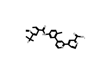 C=N/C(=C\C(=C/C)C(=O)Nc1ccc(C)c(-c2ccnc(-c3ccnc(C(N)=O)c3)c2)c1)C(C)(C)F